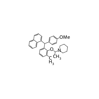 COc1ccc(C(c2cccc(C)c2OC(C)N2CCCCC2)c2cccc3ccccc23)cc1